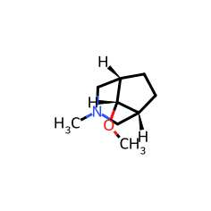 CO[C@H]1[C@@H]2CC[C@H]1CN(C)C2